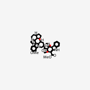 COC(=O)C1=C2Nc3ccccc3[C@@]23CCN2C[C@]4(C[C@@H]5C[C@]67CCC[C@H]6CCN6CC[C@@]8(c9cccc(OC)c9N(C4)[C@@]58O)[C@@H]67)[C@@H]4OCC[C@]4(C1)[C@H]23